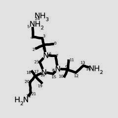 CC(C)(CCN)N1CN(C(C)(C)CCN)CN(C(C)(C)CCN)C1.N